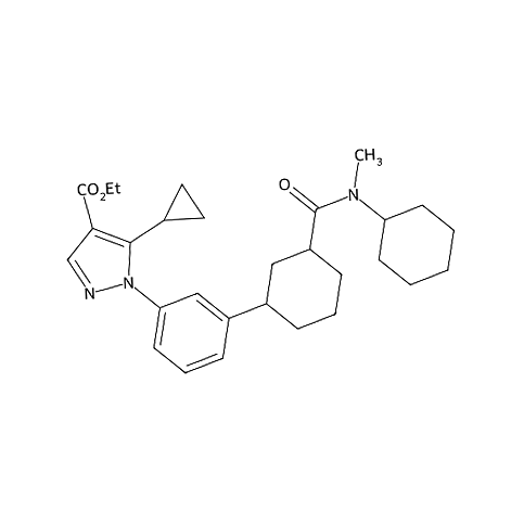 CCOC(=O)c1cnn(-c2cccc(C3CCCC(C(=O)N(C)C4CCCCC4)C3)c2)c1C1CC1